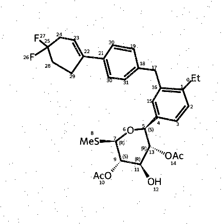 CCc1ccc([C@@H]2O[C@H](SC)[C@@H](OC(C)=O)[C@H](O)[C@H]2OC(C)=O)cc1Cc1ccc(C2=CCC(F)(F)CC2)cc1